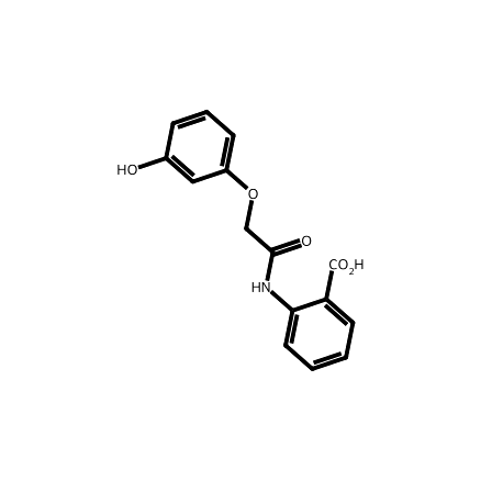 O=C(COc1cccc(O)c1)Nc1ccccc1C(=O)O